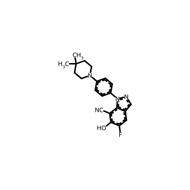 CC1(C)CCN(c2ccc(-n3ncc4cc(F)c(O)c(C#N)c43)cc2)CC1